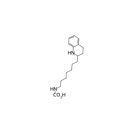 O=C(O)NCCCCCCCC1CCc2ccccc2N1